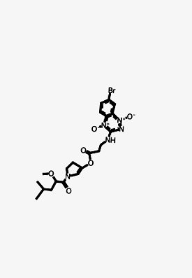 COC(CC(C)C)C(=O)N1C=C(OC(=O)CCNc2n[n+]([O-])c3cc(Br)ccc3[n+]2[O-])CC1